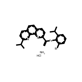 C=[C]([Fe][c]1c(Br)cccc1C(C)C)c1ccc2ccc3ccc(C(C)C)nc3c2n1.Cl.N